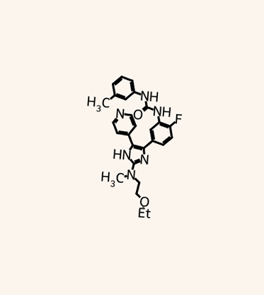 CCOCCN(C)c1nc(-c2ccc(F)c(NC(=O)Nc3cccc(C)c3)c2)c(-c2ccncc2)[nH]1